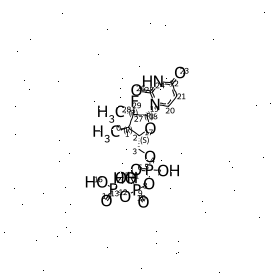 C[C@@H]1[C@@H](COP(=O)(O)OP(=O)(O)OP(=O)(O)O)O[C@@H](n2ccc(=O)[nH]c2=O)[C@]1(C)F